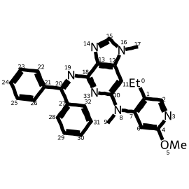 CCc1cnc(OC)cc1N(C)c1cc2c(ncn2C)c(N=C(c2ccccc2)c2ccccc2)n1